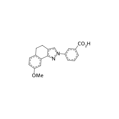 COc1ccc2c(c1)-c1nn(-c3cccc(C(=O)O)c3)cc1CC2